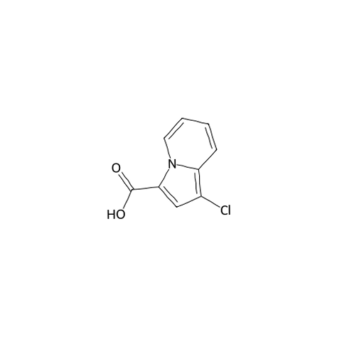 O=C(O)c1cc(Cl)c2ccccn12